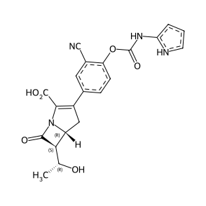 C[C@@H](O)[C@H]1C(=O)N2C(C(=O)O)=C(c3ccc(OC(=O)Nc4ccc[nH]4)c(C#N)c3)C[C@H]12